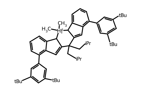 CC(C)CC1(CC(C)C)C2=Cc3c(-c4cc(C(C)(C)C)cc(C(C)(C)C)c4)cccc3[CH]2[Hf]([CH3])([CH3])[CH]2C1=Cc1c(-c3cc(C(C)(C)C)cc(C(C)(C)C)c3)cccc12